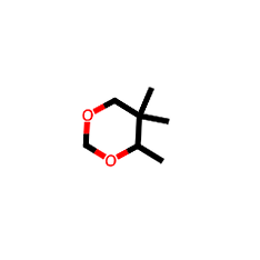 CC1OCOCC1(C)C